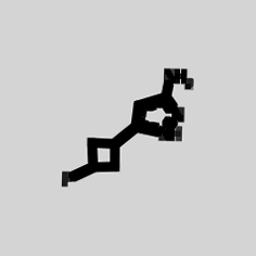 Nc1cc(C2CC(F)C2)[nH]n1